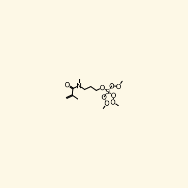 C=C(C)C(=O)N(C)CCCO[Si](OOC)(OOC)OOC